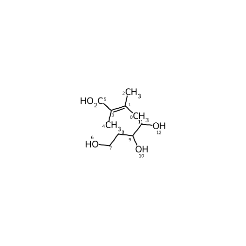 CC(C)=C(C)C(=O)O.OCCC(O)CO